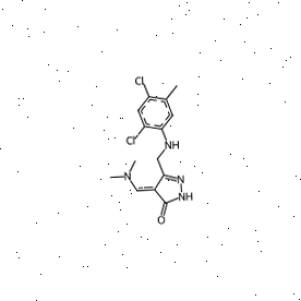 Cc1cc(NCC2=NNC(=O)C2=CN(C)C)c(Cl)cc1Cl